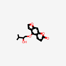 CC(C)C(O)COc1c2ccoc2cc2oc(=O)ccc12